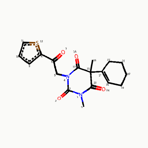 CN1C(=O)N(CC(=O)c2cccs2)C(=O)C(C)(C2=CCCCC2)C1=O